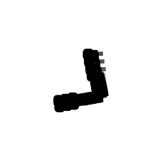 [Li+].[Li+].[Li+].[Li+].[Li+].[Li+].[Li+].[Li+].[Li+].[Li+].[Li+].[Li+].[Li+].[Li+].[Li+].[Li+].[Li+].[Li+].[O-]B([O-])[O-].[O-]B([O-])[O-].[O-]B([O-])[O-].[O-]B([O-])[O-].[O-]B([O-])[O-].[O-]B([O-])[O-]